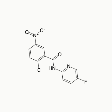 O=C(Nc1ccc(F)cn1)c1cc([N+](=O)[O-])ccc1Cl